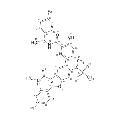 CNC(=O)c1c(-c2ccc(F)cc2)oc2cc(N(C)S(C)(=O)=O)c(-c3ccc(O)c(C(=O)N[C@H](C)c4ccc(F)cc4)n3)cc12